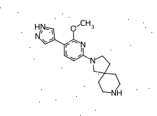 COc1nc(N2CCC3(CCNCC3)C2)ccc1-c1cn[nH]c1